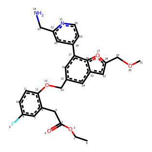 CCOC(=O)Cc1cc(F)ccc1OCc1cc(-c2ccnc(CN)c2)c2oc(COC)cc2c1